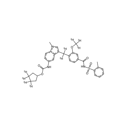 [2H]C([2H])([2H])Oc1cc(C(=O)NS(=O)(=O)c2ccccc2C)ccc1C([2H])([2H])c1cn(C)c2ccc(NC(=O)OC3CC([2H])([2H])C([2H])([2H])C3)cc12